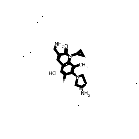 Cc1c(N2CC[C@H](N)C2)c(F)cc2cc(CN)c(=O)n(C3CC3)c12.Cl